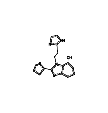 Oc1cccc2nc(-c3cccs3)n(CCc3ncc[nH]3)c12